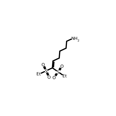 CCS(=O)(=O)C(=CCCCCN)S(=O)(=O)CC